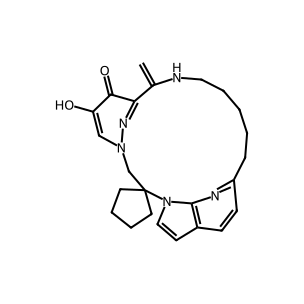 C=C1NCCCCCc2ccc3ccn(c3n2)C2(CCCC2)Cn2cc(O)c(=O)c1n2